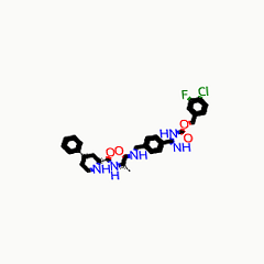 C[C@H](NC(=O)[C@H]1C[C@@H](c2ccccc2)CCN1)C(=O)NCc1ccc(C(=N)NC(=O)OCc2ccc(Cl)c(F)c2)cc1